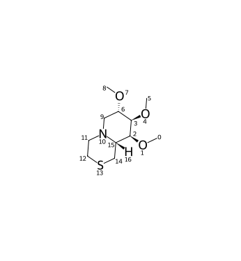 CO[C@@H]1[C@H](OC)[C@@H](OC)CN2CCSC[C@@H]12